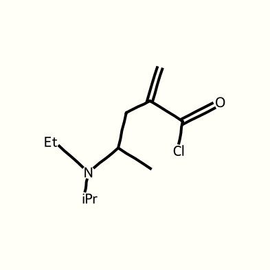 C=C(CC(C)N(CC)C(C)C)C(=O)Cl